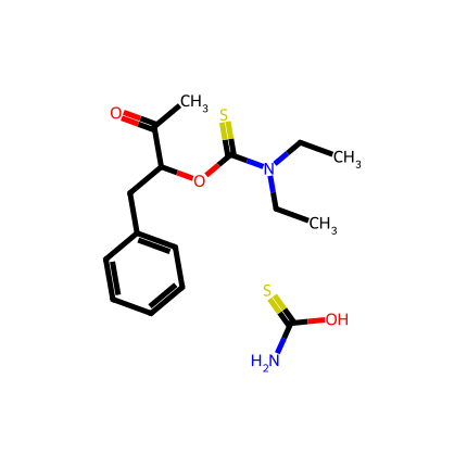 CCN(CC)C(=S)OC(Cc1ccccc1)C(C)=O.NC(O)=S